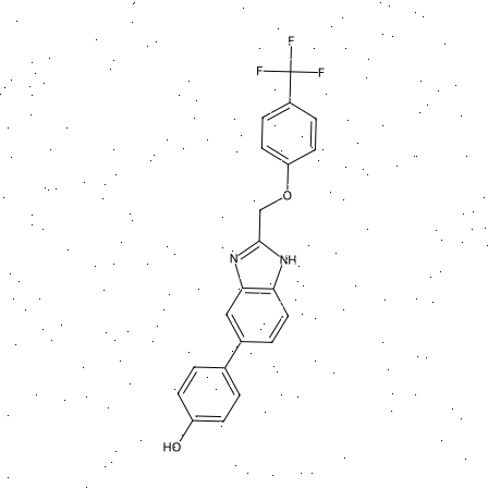 Oc1ccc(-c2ccc3[nH]c(COc4ccc(C(F)(F)F)cc4)nc3c2)cc1